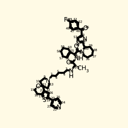 C[C@H](NCCCCCN1CCC2(CC1)OCCc1sc(-c3ccncc3)cc12)C(=O)N[C@H](C(=O)N1CCCCCC1c1nc(C(=O)c2ccc(F)cc2)cs1)C1=CCCCC1